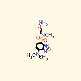 CN(C)c1ccc(S(=O)(=O)N(C)CCON)c2nonc12